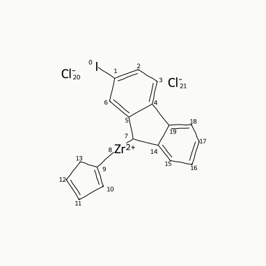 Ic1ccc2c(c1)[CH]([Zr+2][C]1=CC=CC1)c1ccccc1-2.[Cl-].[Cl-]